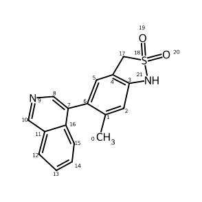 Cc1cc2c(cc1-c1cncc3ccccc13)CS(=O)(=O)N2